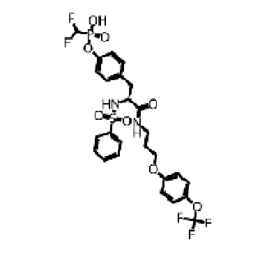 O=C(NCCCOc1ccc(OC(F)(F)F)cc1)[C@H](Cc1ccc(OP(=O)(O)C(F)F)cc1)NS(=O)(=O)c1ccccc1